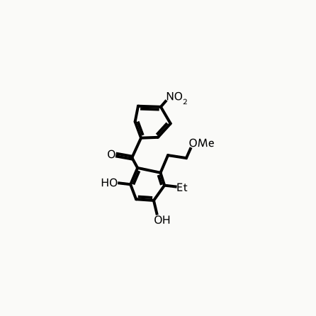 CCc1c(O)cc(O)c(C(=O)c2ccc([N+](=O)[O-])cc2)c1CCOC